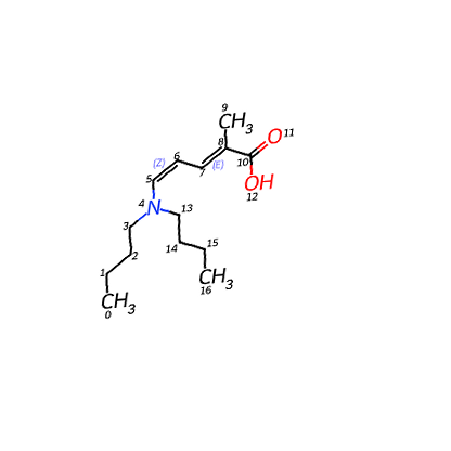 CCCCN(/C=C\C=C(/C)C(=O)O)CCCC